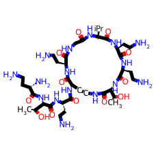 CC(C)[C@@H]1NC(=O)CNC(=O)[C@H](CCN)NC(=O)[C@@H](NC(=O)[C@H](CCN)NC(=O)[C@@H](NC(=O)[C@@H](N)CCN)[C@@H](C)O)CCNC(=O)[C@H]([C@@H](C)O)NC(=O)[C@H](CCN)NC(=O)[C@H](CCN)NC1=O